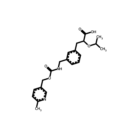 Cc1ccc(COC(=O)NCc2cccc(CC(OC(C)C)C(=O)O)c2)cn1